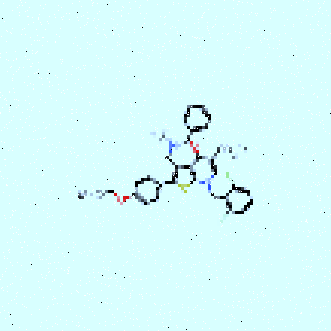 CCOC(=O)c1cn(Cc2c(F)cccc2F)c2sc(-c3ccc(OCOC)cc3)c(CN(C)Cc3ccccc3)c2c1=O